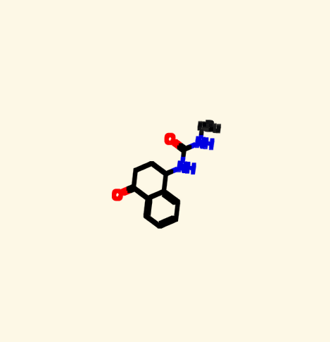 CCCCNC(=O)NC1CCC(=O)c2ccccc21